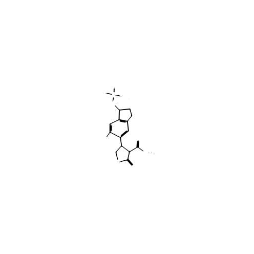 COC(=O)C1C(=O)NCC1c1cc2c(cc1F)C(O[Si](C)(C)C(C)(C)C)CC2